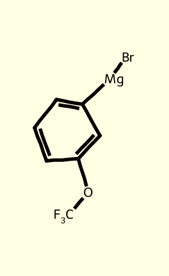 FC(F)(F)Oc1ccc[c]([Mg][Br])c1